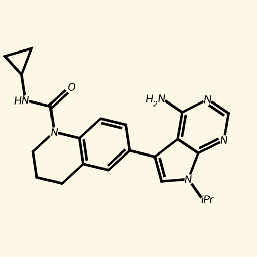 CC(C)n1cc(-c2ccc3c(c2)CCCN3C(=O)NC2CC2)c2c(N)ncnc21